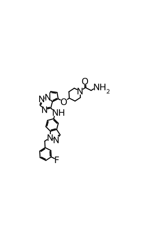 NCC(=O)N1CCC(Oc2ccn3ncnc(Nc4ccc5c(cnn5Cc5cccc(F)c5)c4)c23)CC1